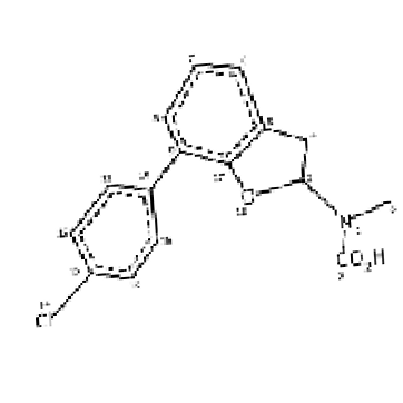 CN(C(=O)O)C1Cc2cccc(-c3ccc(Cl)cc3)c2O1